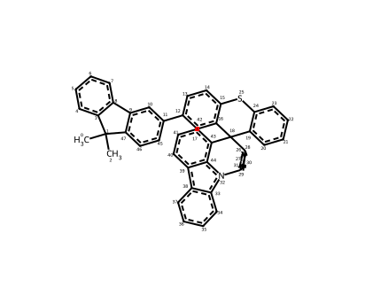 CC1(C)c2ccccc2-c2cc(-c3ccc4c(c3)C3(c5ccccc5S4)c4ccccc4-n4c5ccccc5c5cccc3c54)ccc21